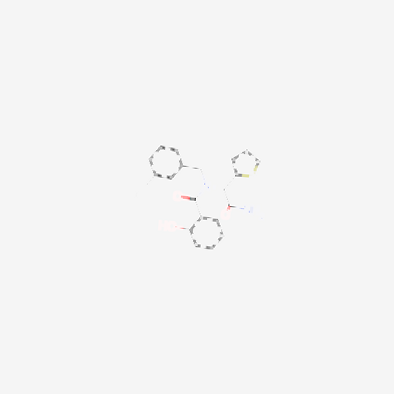 NC(=O)[C@@H](c1cccs1)N(Cc1cccc(C(F)(F)F)c1)C(=O)c1ccccc1O